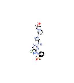 CC(C)(O)CN1CCCC(n2cc(Nc3ncc(Cl)c(Nc4ccccc4P(C)(C)=O)n3)cn2)C1